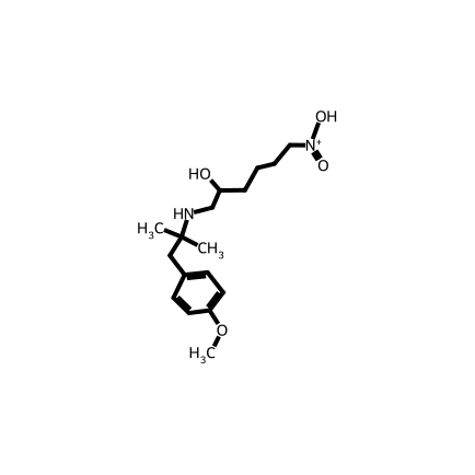 COc1ccc(CC(C)(C)NCC(O)CCCC[N+](=O)O)cc1